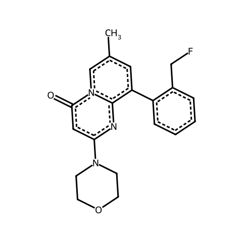 Cc1cc(-c2ccccc2CF)c2nc(N3CCOCC3)cc(=O)n2c1